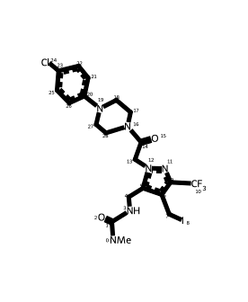 CNC(=O)NCc1c(CI)c(C(F)(F)F)nn1CC(=O)N1CCN(c2ccc(Cl)cc2)CC1